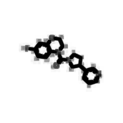 O=C(N1CCC(c2cccnc2)C1)N1CCOc2cc(F)ccc21